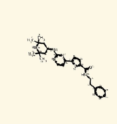 CC1(C)CC(Nc2nccc(-c3ccc(C(=O)NCCc4ccccc4)s3)n2)CC(C)(C)N1